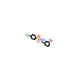 O=S(=O)(NCc1cccc(Br)c1)c1ccc(Cl)cc1